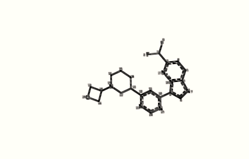 FC(F)c1ccc2ncc(-c3cc(C4CCCN(C5COC5)C4)ncn3)n2n1